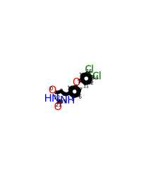 O=C1CC(c2cccc(Oc3ccc(Cl)c(Cl)c3)c2)NC(=O)N1